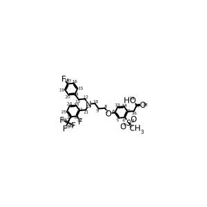 CS(=O)(=O)c1cc(OCCCN(CCc2ccc(F)cc2)Cc2cccc(C(F)(F)F)c2F)ccc1CC(=O)O